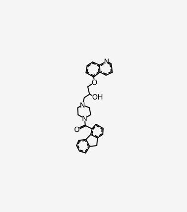 O=C(c1cccc2c1-c1ccccc1C2)N1CCN(CC(O)COc2cccc3ncccc23)CC1